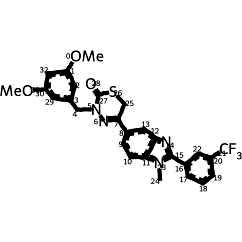 COc1cc(CN2N=C(c3ccc4c(c3)nc(-c3cccc(C(F)(F)F)c3)n4C)CSC2=O)cc(OC)c1